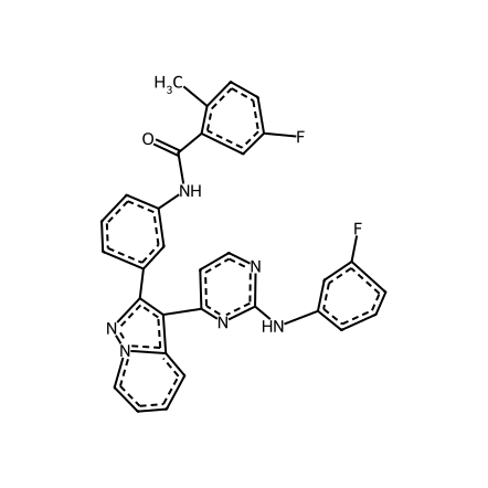 Cc1ccc(F)cc1C(=O)Nc1cccc(-c2nn3ccccc3c2-c2ccnc(Nc3cccc(F)c3)n2)c1